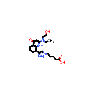 CCN(CCO)c1cc(=O)c2cccc(-c3cn(CCCCC(=O)O)nn3)c2[nH]1